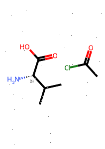 CC(=O)Cl.CC(C)[C@H](N)C(=O)O